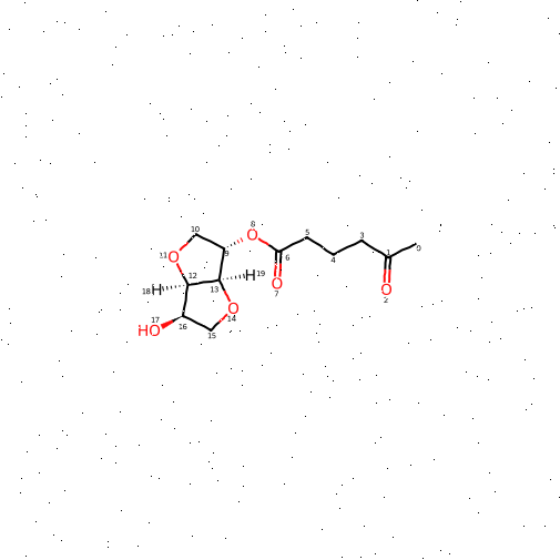 CC(=O)CCCC(=O)O[C@H]1CO[C@H]2[C@@H]1OC[C@H]2O